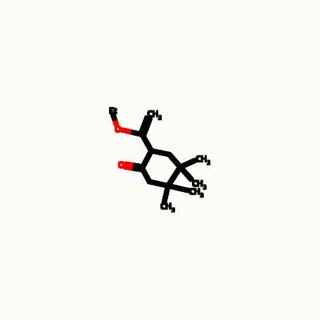 C=C(OCC)C1CC(C)(C)C(C)(C)CC1=O